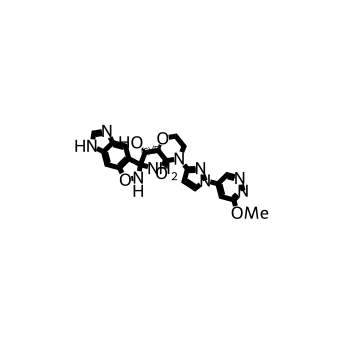 COc1cc(-n2ccc(N3CCO[C@H]([C@@H](O)C4(N)NOc5cc6[nH]cnc6cc54)C3=O)n2)cnn1